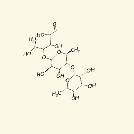 CC(O)C(OC1O[C@@H](C)[C@H](O[C@H]2O[C@@H](C)[C@H](O)[C@@H](O)[C@H]2O)[C@@H](O)[C@H]1O)C(O)C(O)C=O